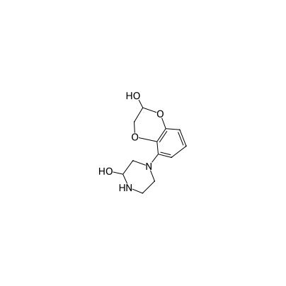 OC1CN(c2cccc3c2OCC(O)O3)CCN1